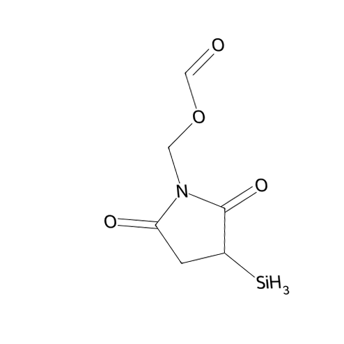 O=COCN1C(=O)CC([SiH3])C1=O